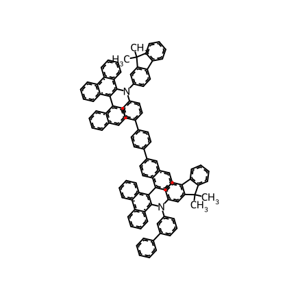 CC1(C)c2ccccc2-c2ccc(N(c3ccc(-c4ccc(-c5ccc6c(-c7c(N(c8cccc(-c9ccccc9)c8)c8ccc9c(c8)C(C)(C)c8ccccc8-9)c8ccccc8c8ccccc78)cccc6c5)cc4)cc3)c3c(-c4cccc5ccccc45)c4ccccc4c4ccccc34)cc21